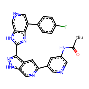 CC(C)(C)C(=O)Nc1cncc(-c2cc3c(-c4nc5c(-c6ccc(F)cc6)cncc5[nH]4)n[nH]c3cn2)c1